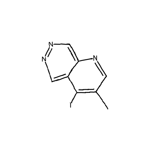 Cc1cnc2cnncc2c1I